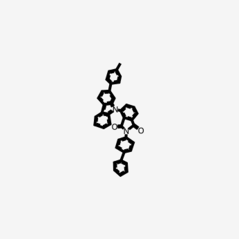 Cc1ccc(-c2ccc3c4ccccc4n(-c4cccc5c4C(=O)N(c4ccc(-c6ccccc6)cc4)C5=O)c3c2)cc1